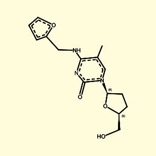 Cc1cn([C@H]2CC[C@@H](CO)O2)c(=O)nc1NCc1ccco1